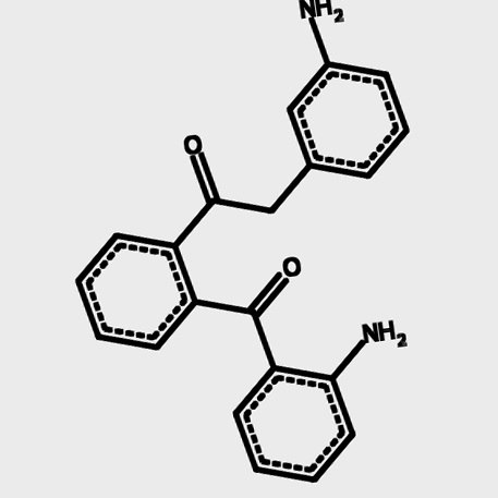 Nc1cccc(CC(=O)c2ccccc2C(=O)c2ccccc2N)c1